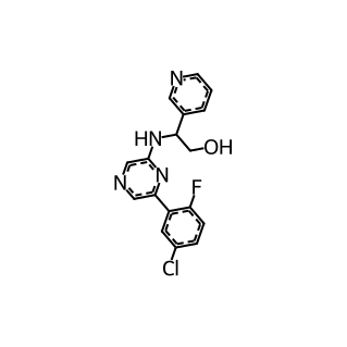 OCC(Nc1cncc(-c2cc(Cl)ccc2F)n1)c1cccnc1